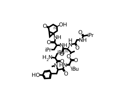 CCC(C)C(N)C(=O)N(C)C(Cc1ccc(O)cc1)C(=O)N[C@H](C(=O)OC(C)[C@H](NC(=O)CNC(=O)C(C)C)C(=O)NC(CC(C)C)C(=O)NC12CC1C(=O)C[C@@H](O)C2)C(C)CC